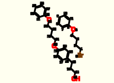 BrCCCCOc1ccccc1.OCCCc1ccc(OCCCCOc2ccccc2)cc1